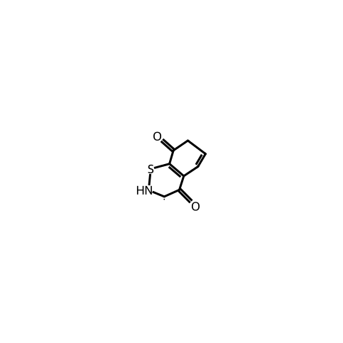 O=C1[CH]NSC2=C1C=CCC2=O